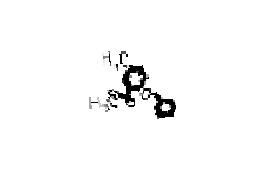 COC(=O)c1cc(C)ccc1OCc1ccccc1